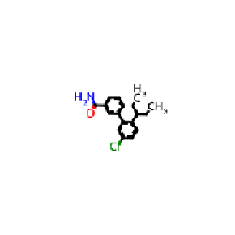 CCC(CC)c1ccc(Cl)cc1-c1cccc(C(N)=O)c1